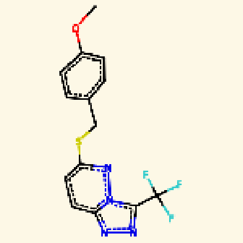 COc1ccc(CSc2ccc3nnc(C(F)(F)F)n3n2)cc1